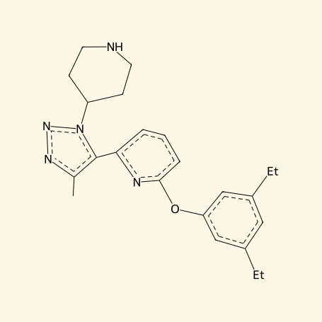 CCc1cc(CC)cc(Oc2cccc(-c3c(C)nnn3C3CCNCC3)n2)c1